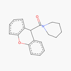 O=C(C1c2ccccc2Oc2ccccc21)N1CCCCC1